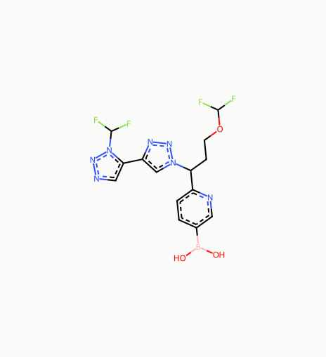 OB(O)c1ccc(C(CCOC(F)F)n2cc(-c3cnnn3C(F)F)nn2)nc1